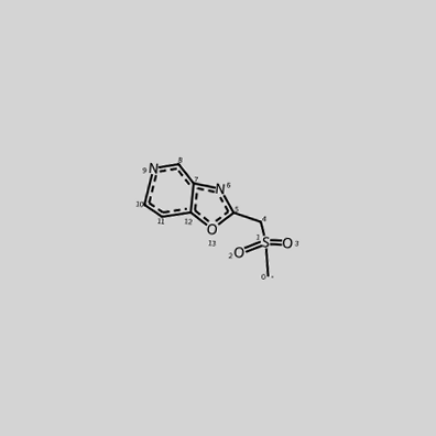 [CH2]S(=O)(=O)Cc1nc2cnccc2o1